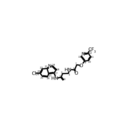 C=C(CCNC(=O)COc1ccc(C(F)(F)F)nc1)Nc1ccnc2cc(Cl)ccc12